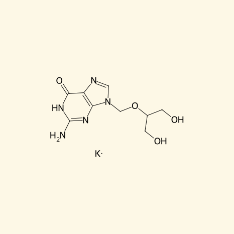 Nc1nc2c(ncn2COC(CO)CO)c(=O)[nH]1.[K]